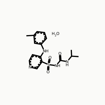 Cc1cccc(Nc2ccncc2S(=O)(=O)NC(=O)NC(C)C)c1.O